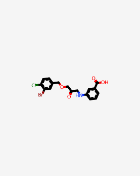 O=C(CNc1cccc(C(=O)O)c1)COCc1ccc(Cl)c(Br)c1